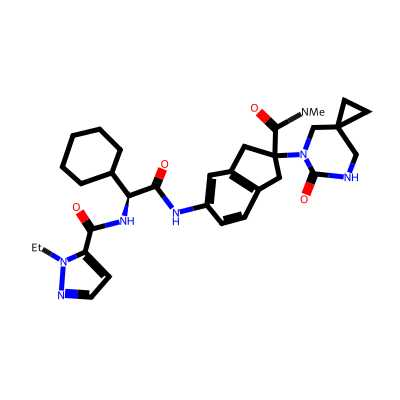 CCn1nccc1C(=O)N[C@H](C(=O)Nc1ccc2c(c1)CC(C(=O)NC)(N1CC3(CC3)CNC1=O)C2)C1CCCCC1